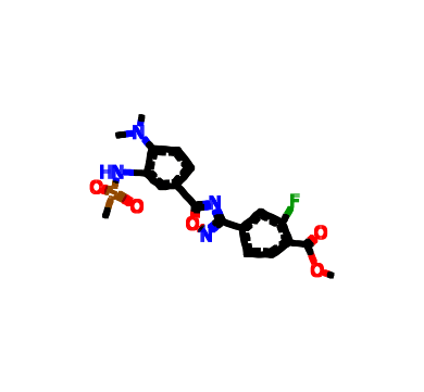 COC(=O)c1ccc(-c2noc(-c3ccc(N(C)C)c(NS(C)(=O)=O)c3)n2)cc1F